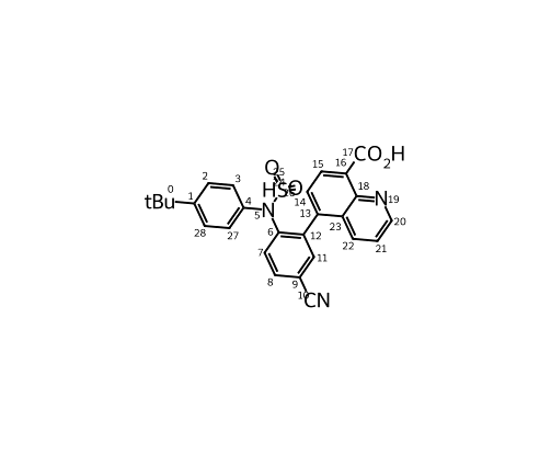 CC(C)(C)c1ccc(N(c2ccc(C#N)cc2-c2ccc(C(=O)O)c3ncccc23)[SH](=O)=O)cc1